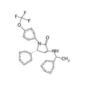 CC(NC1=C[C@H](c2ccccc2)N(c2ccc(OC(F)(F)F)cc2)C1=O)c1ccccc1